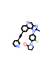 Cc1nc2cnc3ccc(C#Cc4cccnc4)cc3c2n1-c1ccc(N2CCCC2=O)c(F)c1